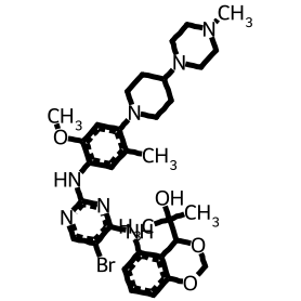 COc1cc(N2CCC(N3CCN(C)CC3)CC2)c(C)cc1Nc1ncc(Br)c(Nc2cccc3c2C(C(C)(C)O)OCO3)n1